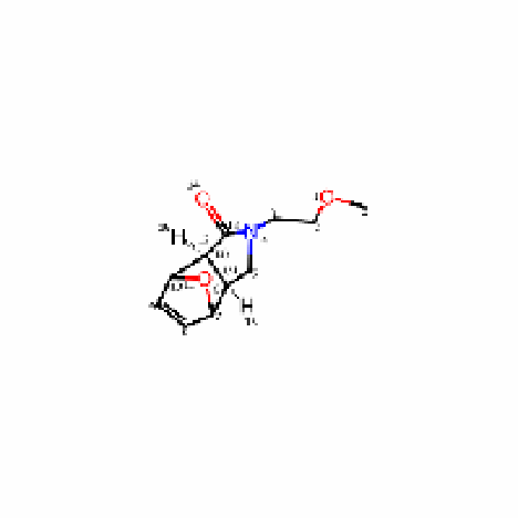 COCCN1C[C@H]2C3C=CC(O3)[C@H]2C1=O